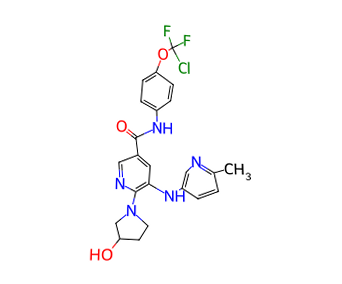 Cc1ccc(Nc2cc(C(=O)Nc3ccc(OC(F)(F)Cl)cc3)cnc2N2CCC(O)C2)cn1